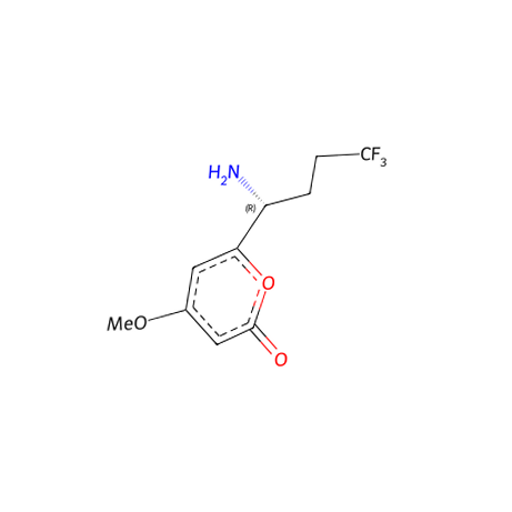 COc1cc([C@H](N)CCC(F)(F)F)oc(=O)c1